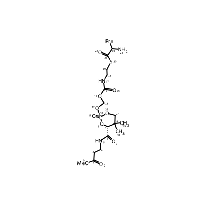 COC(=O)CCNC(=O)[C@@H]1O[P@@](=O)(OCOC(=O)NCCSC(=O)C(N)C(C)C)OCC1(C)C